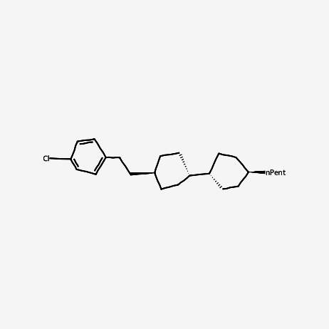 CCCCC[C@H]1CC[C@H]([C@H]2CC[C@H](CCc3ccc(Cl)cc3)CC2)CC1